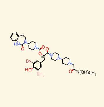 Bc1cc(C[C@@H](OC(=O)N2CCC(N3CCc4ccccc4NC3=O)CC2)C(=O)N2CCN(C3CCN(CC(=O)N(C)O)CC3)CC2)cc(Br)c1O